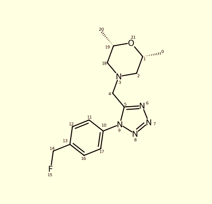 C[C@@H]1CN(Cc2nnnn2-c2ccc(CF)cc2)C[C@H](C)O1